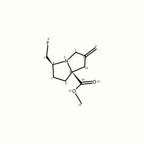 C=C1CN2[C@H](CF)CC[C@@]2(C(=O)OC)C1